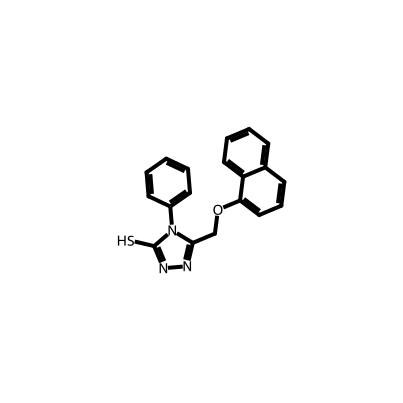 Sc1nnc(COc2cccc3ccccc23)n1-c1ccccc1